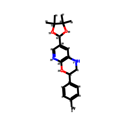 CC(C)c1ccc(C2CNc3cc(B4OC(C)(C)C(C)(C)O4)cnc3O2)cc1